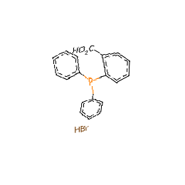 Br.O=C(O)c1ccccc1P(c1ccccc1)c1ccccc1